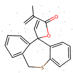 C=CC1(OC(=O)C(=C)C)c2ccccc2CSc2ccccc21